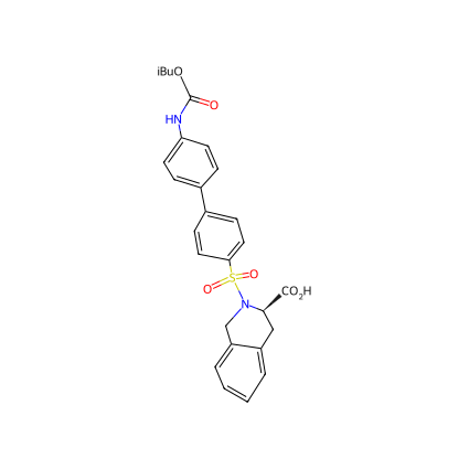 CC(C)COC(=O)Nc1ccc(-c2ccc(S(=O)(=O)N3Cc4ccccc4C[C@@H]3C(=O)O)cc2)cc1